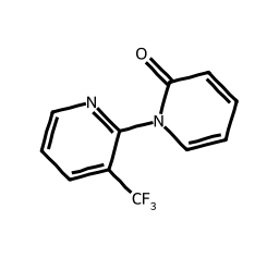 O=c1ccccn1-c1ncccc1C(F)(F)F